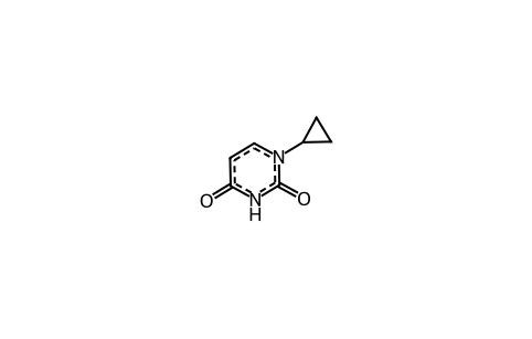 O=c1ccn(C2CC2)c(=O)[nH]1